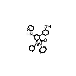 O=c1c2c(-c3cccc(O)c3)cc(Nc3ccccn3)cc2n(-c2ccccc2)n1-c1ccccc1